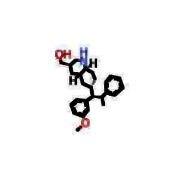 COc1cccc([C@H](C(C)c2ccccc2)[C@H]2CC[C@@H]3NC[C@H](CO)C[C@H]3C2)c1